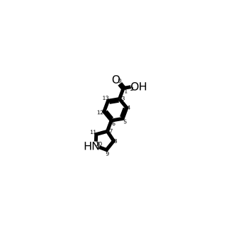 O=C(O)c1ccc(C2CCNC2)cc1